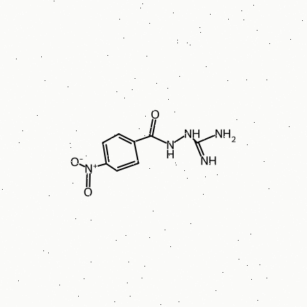 N=C(N)NNC(=O)c1ccc([N+](=O)[O-])cc1